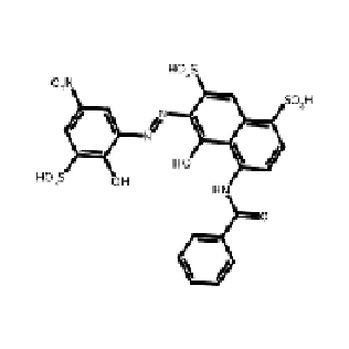 O=C(Nc1ccc(S(=O)(=O)O)c2cc(S(=O)(=O)O)c(N=Nc3cc([N+](=O)[O-])cc(S(=O)(=O)O)c3O)c(O)c12)c1ccccc1